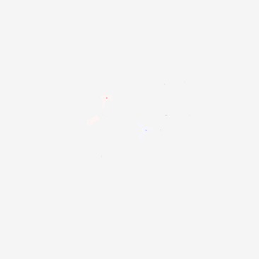 CC1CN(Cc2ccccc2)CC1C(=O)O